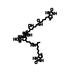 C/C=C(\CCCCC1SCC2NC(=O)NC21)NCCCCC(COP(=O)(O)OC)COP(=O)(O)OCC(CO)CCCCNC(=O)CCCCC1SCC2NC(=O)NC21